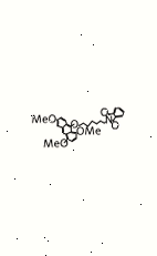 COc1ccc2c(OCCCCCCCN3C(=O)c4ccccc4C3=O)c3c(OC)ccc(OC)c3cc2c1